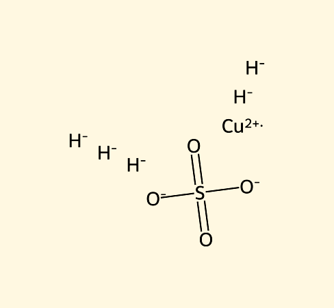 O=S(=O)([O-])[O-].[Cu+2].[H-].[H-].[H-].[H-].[H-]